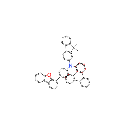 CC1(C)c2ccccc2-c2ccc(N(c3ccc(-c4cccc5c6c(oc45)C=C=C=C6)cc3)c3ccccc3-c3ccccc3-c3ccccc3C3=CCCC=C3)cc21